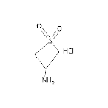 Cl.NC1CS(=O)(=O)C1